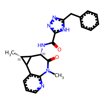 C[C@H]1C2c3cccnc3N(C)C(=O)[C@@H](NC(=O)c3nnc(Cc4ccccc4)[nH]3)C21